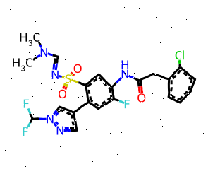 CN(C)C=NS(=O)(=O)c1cc(NC(=O)Cc2ccccc2Cl)c(F)cc1-c1cnn(C(F)F)c1